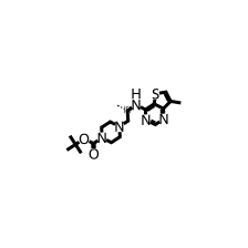 Cc1csc2c(N[C@@H](C)CN3CCN(C(=O)OC(C)(C)C)CC3)ncnc12